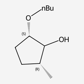 CCCCO[C@H]1CC[C@@H](C)C1O